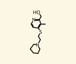 Cc1c(SCCN2CCCCC2)ccnc1CO